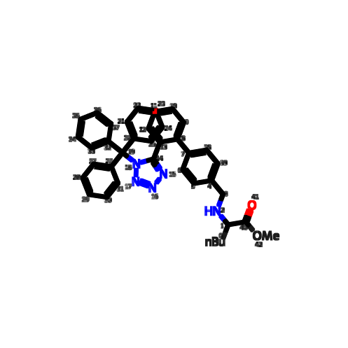 CCCCC(NCc1ccc(-c2ccccc2-c2nnnn2C(c2ccccc2)(c2ccccc2)c2ccccc2)cc1)C(=O)OC